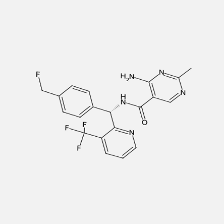 Cc1ncc(C(=O)N[C@@H](c2ccc(CF)cc2)c2ncccc2C(F)(F)F)c(N)n1